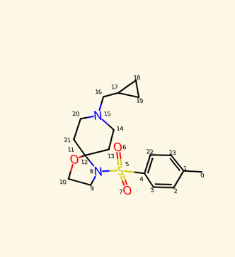 Cc1ccc(S(=O)(=O)N2CCOC23CCN(CC2CC2)CC3)cc1